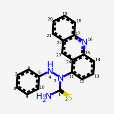 NC(=S)N(Nc1ccccc1)c1cccc2nc3ccccc3cc12